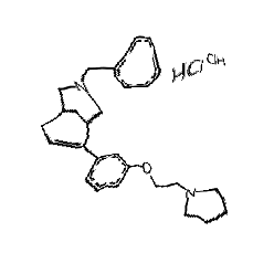 C1=C(c2cccc(OCCN3CCCC3)c2)C2CN(Cc3ccccc3)CC2C1.Cl.Cl